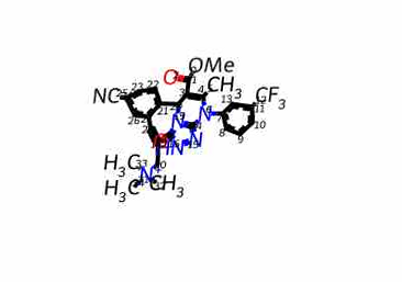 COC(=O)C1=C(C)N(c2cccc(C(F)(F)F)c2)c2n[nH]c(=O)n2C1c1ccc(C#N)cc1C#CC[N+](C)(C)C